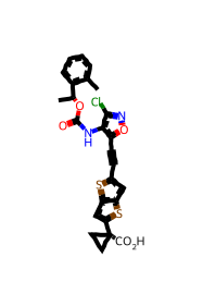 Cc1ccccc1C(C)OC(=O)Nc1c(Cl)noc1C#Cc1cc2sc(C3(C(=O)O)CC3)cc2s1